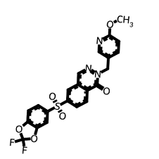 COc1ccc(Cn2ncc3cc(S(=O)(=O)c4ccc5c(c4)OC(F)(F)O5)ccc3c2=O)cn1